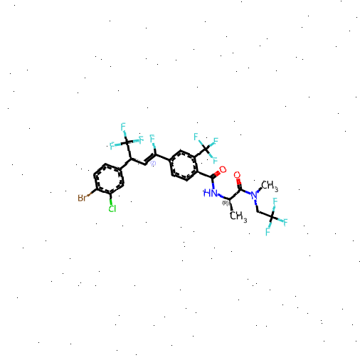 C[C@@H](NC(=O)c1ccc(/C(F)=C/C(c2ccc(Br)c(Cl)c2)C(F)(F)F)cc1C(F)(F)F)C(=O)N(C)CC(F)(F)F